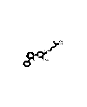 COc1nc(-c2cccc(-c3ccccc3)c2C)ccc1CNCCCC(=O)NO